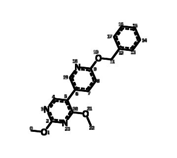 COc1ncc(-c2ccc(OCc3ccccc3)nc2)c(OC)n1